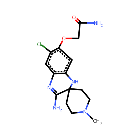 CN1CCC2(CC1)Nc1cc(OCC(N)=O)c(Cl)cc1N=C2N